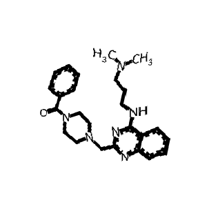 CN(C)CCCNc1nc(CN2CCN(C(=O)c3ccccc3)CC2)nc2ccccc12